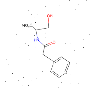 O=C(Cc1ccccc1)NC(CO)C(=O)O